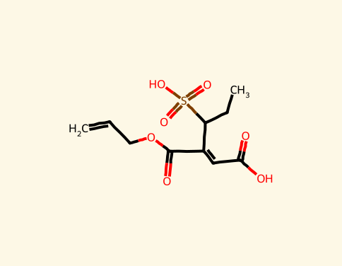 C=CCOC(=O)C(=CC(=O)O)C(CC)S(=O)(=O)O